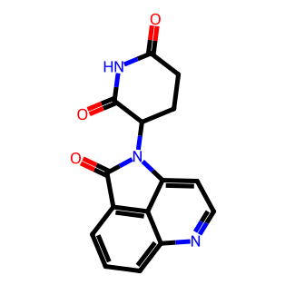 O=C1CCC(N2C(=O)c3cccc4nccc2c34)C(=O)N1